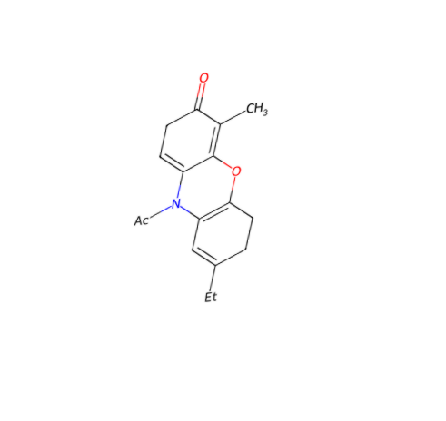 CCC1=CC2=C(CC1)OC1=C(C)C(=O)CC=C1N2C(C)=O